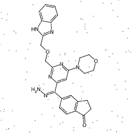 NN=C(c1ccc2c(c1)CCC2=O)c1cc(N2CCOCC2)nc(COCc2nc3ccccc3[nH]2)n1